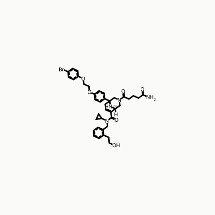 NC(=O)CCCC(=O)N1C[C@H]2NC(c3ccc(OCCOc4ccc(Br)cc4)cc3)(CC=C2C(=O)N(Cc2ccccc2CCO)C2CC2)C1